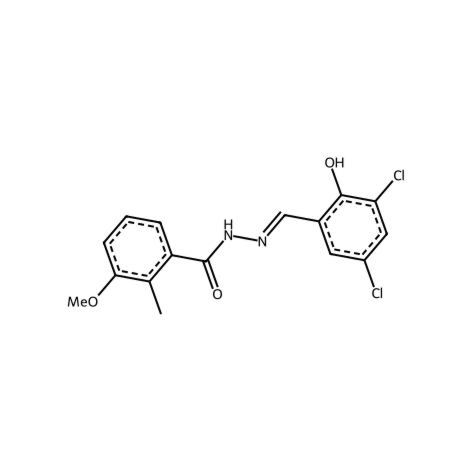 COc1cccc(C(=O)N/N=C/c2cc(Cl)cc(Cl)c2O)c1C